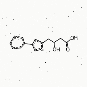 O=C(O)CC(O)Cc1cc(-c2ccccc2)cs1